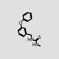 CNC(=S)NCc1cccc(Oc2ccccc2)c1